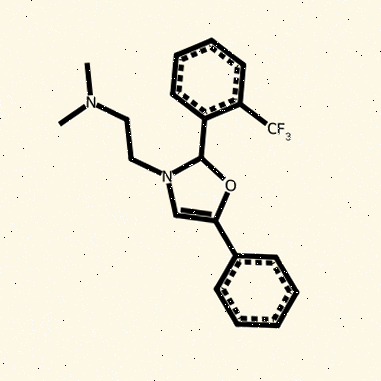 CN(C)CCN1C=C(c2ccccc2)OC1c1ccccc1C(F)(F)F